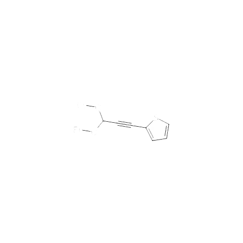 CCOC(C#Cc1cccs1)OCC